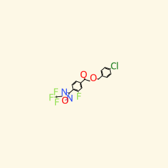 O=C(COCc1ccc(Cl)cc1)c1ccc(-c2noc(C(F)(F)F)n2)c(F)c1